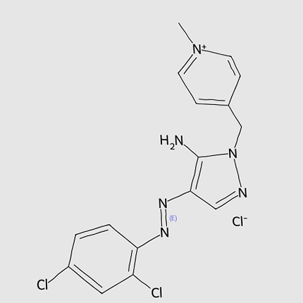 C[n+]1ccc(Cn2ncc(/N=N/c3ccc(Cl)cc3Cl)c2N)cc1.[Cl-]